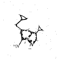 Nc1cc(CC2CC2)nc2c(C3CC3)cnn12